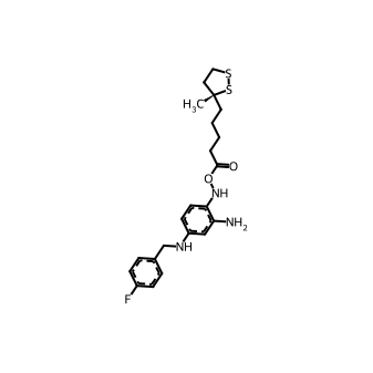 C[C@@]1(CCCCC(=O)ONc2ccc(NCc3ccc(F)cc3)cc2N)CCSS1